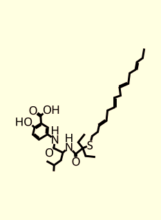 CCC=CCC=CCC=CCC=CCCSC(CC)(CC)C(=O)NC(CC(C)C)C(=O)Nc1ccc(O)c(C(=O)O)c1